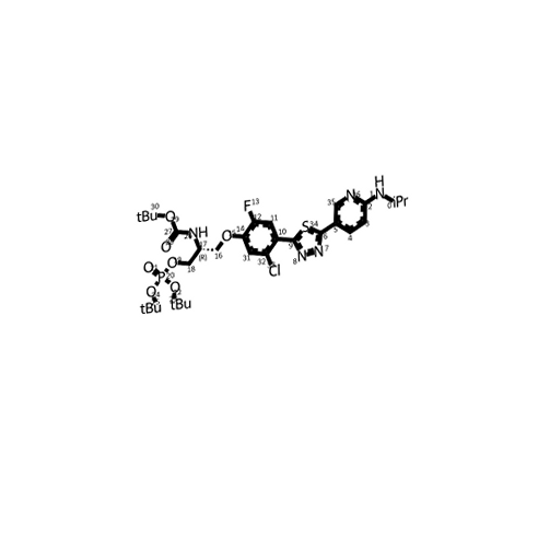 CC(C)Nc1ccc(-c2nnc(-c3cc(F)c(OC[C@H](COP(=O)(OC(C)(C)C)OC(C)(C)C)NC(=O)OC(C)(C)C)cc3Cl)s2)cn1